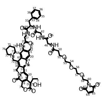 CC[C@@]1(O)C(=O)OCc2c1cc1n(c2=O)Cc2c-1nc1cc(F)c(NC(=O)CNC(=O)C(Cc3ccccc3)NC(=O)CNC(=O)CNC(=O)CCOCCOCCOCCN3C(=O)C=CC3=O)cc1c2CN1CCCCC1